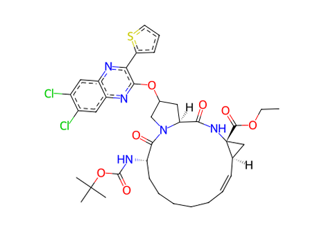 CCOC(=O)[C@@]12C[C@H]1/C=C\CCCCC[C@H](NC(=O)OC(C)(C)C)C(=O)N1CC(Oc3nc4cc(Cl)c(Cl)cc4nc3-c3cccs3)C[C@H]1C(=O)N2